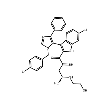 C[C@@H](CC(=N)C(=O)c1[nH]c2cc(Cl)ccc2c1-c1c(-c2ccccc2)ncn1Cc1ccc(Cl)cc1)NCCO